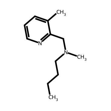 CCCCN(C)Cc1ncccc1C